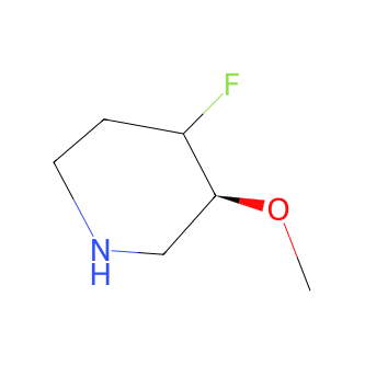 CO[C@H]1CNCCC1F